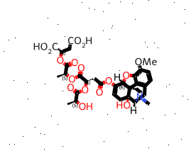 COc1ccc2c3c1O[C@H]1C(OC(=O)C[C@H](OC(=O)[C@H](C)O)C(=O)O[C@@H](C)C(=O)O[C@H](CC(=O)O)C(=O)O)=CC[C@@]4(O)[C@@H](C2)N(C)CC[C@]314